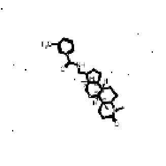 CN1C(=O)CC[C@@]2(C)C1CC[C@@H]1[C@H]2CC[C@]2(C)C(CNC(=O)c3cccc(C(F)(F)F)c3)CC[C@@H]12